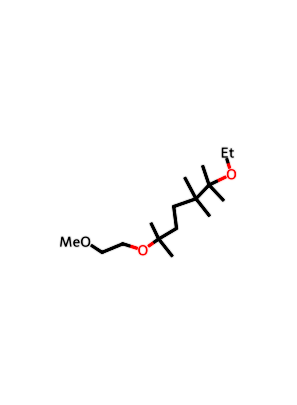 CCOC(C)(C)C(C)(C)CCC(C)(C)OCCOC